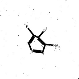 Nc1cncc(F)c1Br